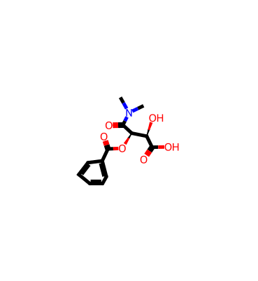 CN(C)C(=O)[C@H](OC(=O)c1ccccc1)[C@@H](O)C(=O)O